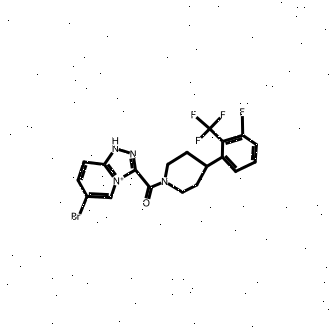 O=C(c1n[nH]c2ccc(Br)c[n+]12)N1CCC(c2cccc(F)c2C(F)(F)F)CC1